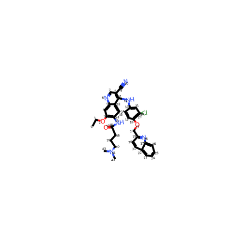 CCOc1cc2ncc(C#N)c(Nc3ccc(OCc4ccc5ccccc5n4)c(Cl)c3)c2cc1NC(=O)CCCN(C)C